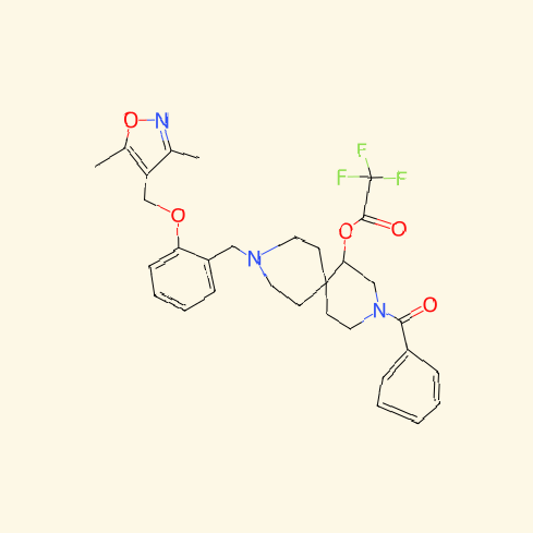 Cc1noc(C)c1COc1ccccc1CN1CCC2(CC1)CCN(C(=O)c1ccccc1)CC2OC(=O)C(F)(F)F